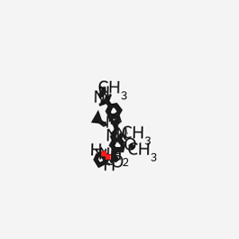 COc1cc(C(=O)N2C[C@H]3CC[C@@H]2[C@@H]3N)cc2nc(-c3cc4ccc(-c5cnn(C)c5)cc4n3CC3CC3)n(C)c12